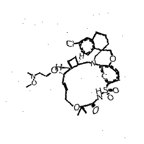 CON(C)CCO[C@H]1/C=C/COC(C)(C)C(=O)NS(=O)(=O)c2ccc3c(c2)N(C[C@@H]2CC[C@H]21)C[C@@]1(CCCc2cc(Cl)ccc21)CO3